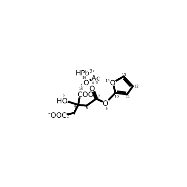 CC(=O)[O-].O=C([O-])CC(O)(CC(=O)Oc1ccco1)C(=O)[O-].[PbH+3]